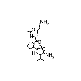 CC(=O)N[C@H](CCCCN)C(=O)N1CCC[C@@H]1C(=O)NC(C(N)=O)C(C)C